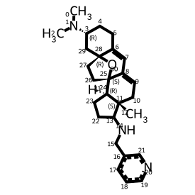 CN(C)[C@@H]1CCC2=CC3=CC[C@]4(C)C(NCc5cccnc5)CC[C@H]4[C@@]34CC[C@]2(C1)O4